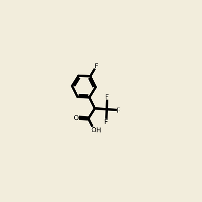 O=C(O)C(c1cccc(F)c1)C(F)(F)F